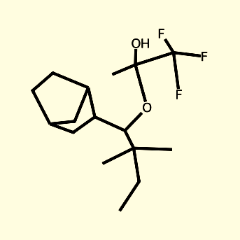 CCC(C)(C)C(OC(C)(O)C(F)(F)F)C1CC2CCC1C2